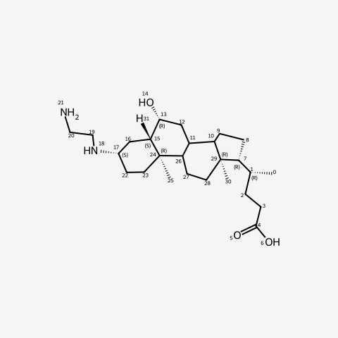 C[C@H](CCC(=O)O)[C@H]1CCC2C3C[C@@H](O)[C@H]4C[C@@H](NCCN)CC[C@]4(C)C3CC[C@@]21C